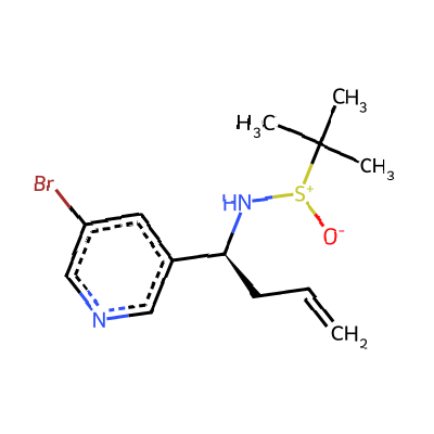 C=CC[C@H](N[S+]([O-])C(C)(C)C)c1cncc(Br)c1